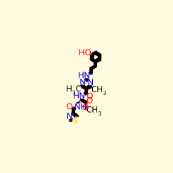 COC(=O)[C@H](CNC(=O)c1cscn1)NC(=O)c1c(C)nc(NCCCc2cccc(O)c2)nc1C